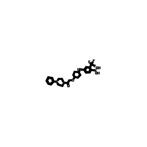 O=C(COC1CCC(Nc2ccc(N(O)O)c(C(F)(F)F)c2)CC1)N1CCN(c2ccccc2)CC1